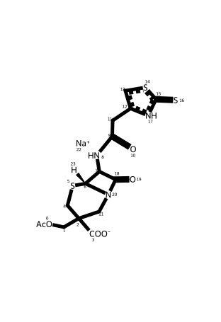 CC(=O)OCC1(C(=O)[O-])CS[C@@H]2C(NC(=O)Cc3csc(=S)[nH]3)C(=O)N2C1.[Na+]